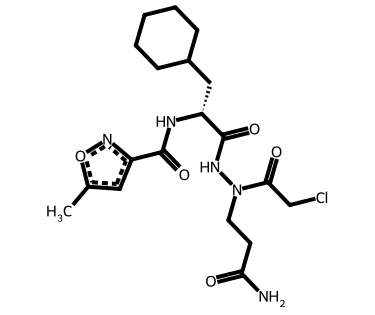 Cc1cc(C(=O)N[C@H](CC2CCCCC2)C(=O)NN(CCC(N)=O)C(=O)CCl)no1